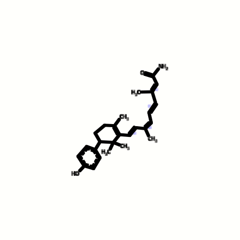 CC1=C(/C=C/C(C)=C\C=C\C(C)=C\C(N)=O)C(C)(C)C(c2ccc(O)cc2)CC1